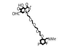 CNCc1c(F)cc(F)cc1OCCOCCOCCOCCN1CN(C)C(=O)c2c(O)c(=O)c(C=O)cn21